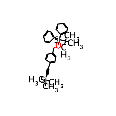 CC(C)(C)[Si](OCc1ccc(C#C[Si](C)(C)C)cc1)(c1ccccc1)c1ccccc1